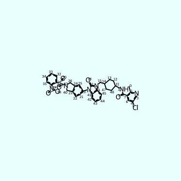 Cc1ncc(Cl)cc1C(=O)NC1CCC(Cn2c(=O)n(-c3ccc4c(c3)CN(S(=O)(=O)c3ccccc3[N+](=O)[O-])C4)c3ccccc32)CC1